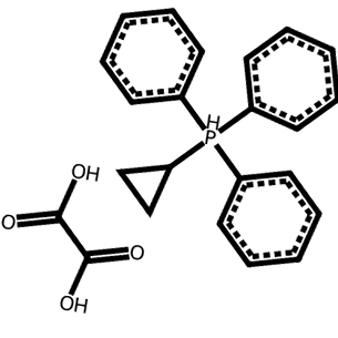 O=C(O)C(=O)O.c1ccc([PH](c2ccccc2)(c2ccccc2)C2CC2)cc1